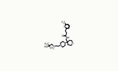 CC(C)(O)COCCN1CCN(C2(CNC(=O)CCc3cccc(C(F)(F)F)n3)CCOCC2)CC1